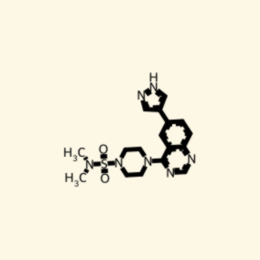 CN(C)S(=O)(=O)N1CCN(c2ncnc3ccc(-c4cn[nH]c4)cc23)CC1